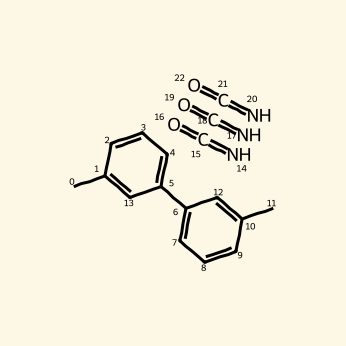 Cc1cccc(-c2cccc(C)c2)c1.N=C=O.N=C=O.N=C=O